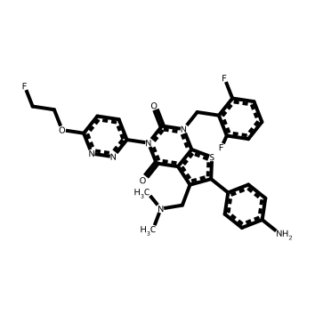 CN(C)Cc1c(-c2ccc(N)cc2)sc2c1c(=O)n(-c1ccc(OCCF)nn1)c(=O)n2Cc1c(F)cccc1F